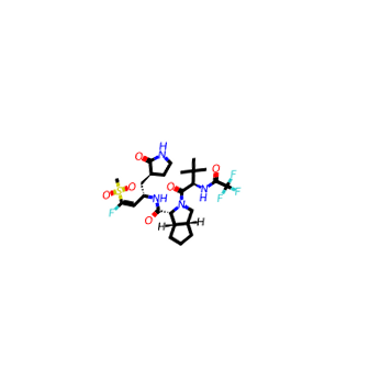 CC(C)(C)[C@@H](NC(=O)C(F)(F)F)C(=O)N1C[C@@H]2CCC[C@@H]2[C@@H]1C(=O)N[C@H](/C=C(/F)S(C)(=O)=O)C[C@@H]1CCNC1=O